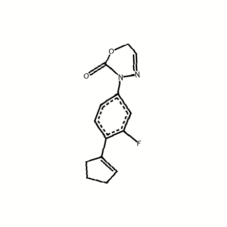 O=C1OCC=NN1c1ccc(C2=CCCC2)c(F)c1